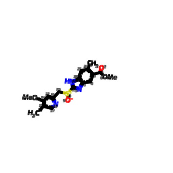 COC(=O)c1cc2nc([S+]([O-])Cc3cc(OC)c(C)cn3)[nH]c2cc1C